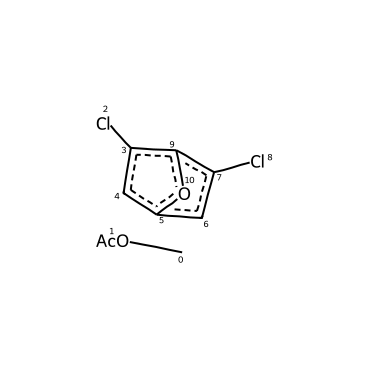 COC(C)=O.Clc1cc2cc(Cl)c1o2